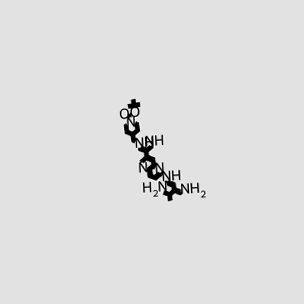 CC(C)C(=C/N)/C=C(\N)Nc1ccc2ncc(/C(C=N)=C/NCC3CCN(C(=O)OC(C)(C)C)CC3)cc2n1